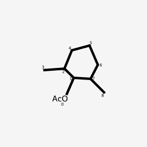 CC(=O)OC1C(C)CCCC1C